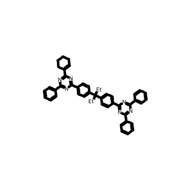 CCC(CC)(c1ccc(-c2nc(C3=CCCCC3)nc(-c3ccccc3)n2)cc1)c1ccc(-c2nc(-c3ccccc3)nc(-c3ccccc3)n2)cc1